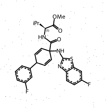 COC(=O)[C@@H](NC(=O)C1(Nc2nc3ccc(F)cc3s2)C=CC(c2cccc(F)c2)C=C1)C(C)C